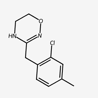 Cc1ccc(CC2=NOCCN2)c(Cl)c1